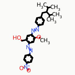 COc1cc(/N=N/c2ccc([N+](=O)[O-])cc2)c(CO)cc1/N=N/c1ccc(CC(C(C)C)C(C)C)cc1